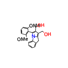 COc1cccc(OC)c1-c1c(CO)c(CO)c2n1-c1ccccc1C2